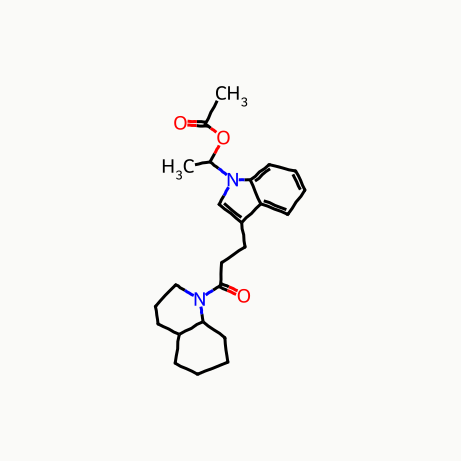 CC(=O)OC(C)n1cc(CCC(=O)N2CCCC3CCCCC32)c2ccccc21